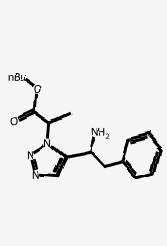 CCCCOC(=O)C(C)n1nncc1[C@@H](N)Cc1ccccc1